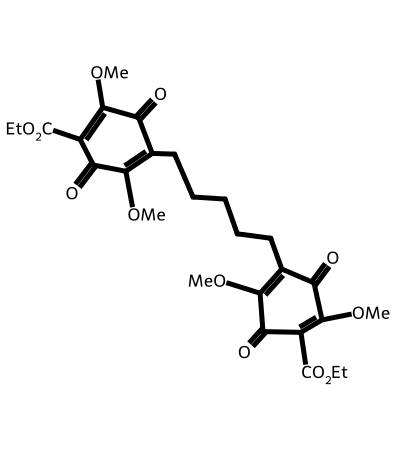 CCOC(=O)C1=C(OC)C(=O)C(CCCCCC2=C(OC)C(=O)C(C(=O)OCC)=C(OC)C2=O)=C(OC)C1=O